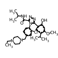 CCN1CCN(Cc2ccc(-n3c(C(=O)NC(C)C)nnc3-c3cc(C(C)C)c(OC)cc3O)c(Cl)c2)CC1